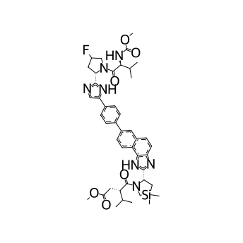 COC(=O)C[C@H](C(=O)N1C[Si](C)(C)C[C@H]1c1nc2ccc3cc(-c4ccc(-c5cnc([C@@H]6CC(F)CN6C(=O)[C@@H](NC(=O)OC)C(C)C)[nH]5)cc4)ccc3c2[nH]1)C(C)C